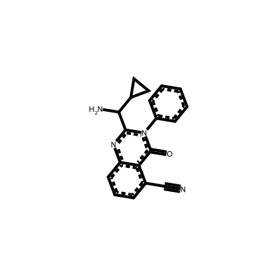 N#Cc1cccc2nc(C(N)C3CC3)n(-c3ccccc3)c(=O)c12